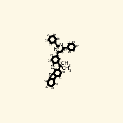 CC1(C)c2cc(-c3cc(-c4ccccc4)nc(-c4ccccc4)n3)ccc2Oc2c1ccc1c2sc2ccccc21